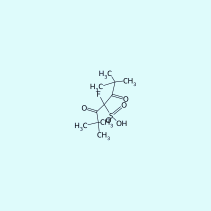 CC(C)(C)C(=O)C(F)(C(=O)C(C)(C)C)S(=O)(=O)O